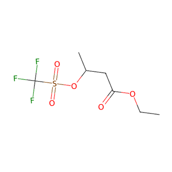 CCOC(=O)CC(C)OS(=O)(=O)C(F)(F)F